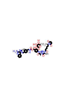 CCCCc1nc2c(N)nc3ccccc3c2n1Cc1ccc(CNC(=O)OCc2ccc(NC(=O)[C@H](C)NC(=O)[C@@H](NC(=O)CCCCCN3C(=O)C=CC3=O)C(C)C)c(O[C@@H]3O[C@H](C(=O)O)[C@@H](O)[C@H](O)[C@H]3O)c2)cc1